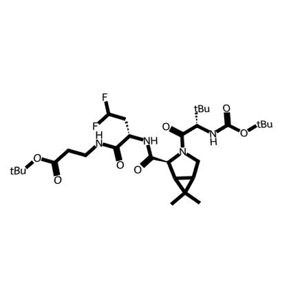 CC(C)(C)OC(=O)CCNC(=O)[C@H](CC(F)F)NC(=O)[C@@H]1C2C(CN1C(=O)[C@@H](NC(=O)OC(C)(C)C)C(C)(C)C)C2(C)C